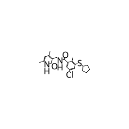 Cc1cc(C)c(CNC(=O)c2cc(Cl)cc(SC3CCCC3)c2C)c(=O)[nH]1